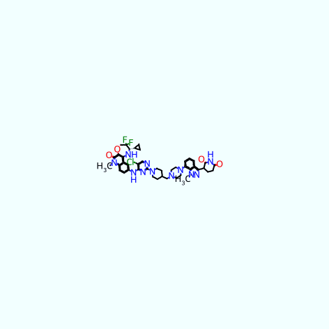 Cn1nc(C2CCC(=O)NC2=O)c2cccc(N3CCN(CC4CCN(c5ncc(Cl)c(Nc6ccc7c(c6)c6c(c(=O)n7C)OCC(F)(F)[C@H](C7CC7)N6)n5)CC4)CC3)c21